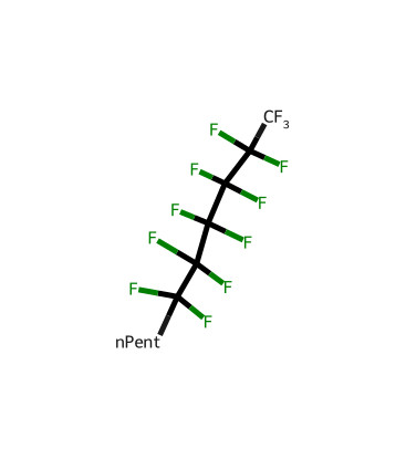 CCCCCC(F)(F)C(F)(F)C(F)(F)C(F)(F)C(F)(F)C(F)(F)F